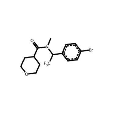 CN(C(=O)C1CCOCC1)C(c1ccc(Br)cc1)C(F)(F)F